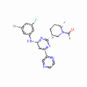 CC(=O)N1C[C@H](c2nc(Nc3cc(F)cc(Br)c3)cc(-c3cnccn3)n2)CC[C@@H]1C